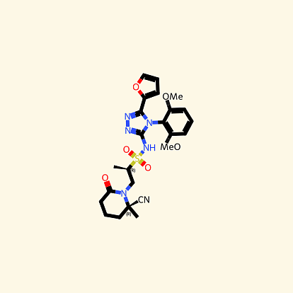 COc1cccc(OC)c1-n1c(NS(=O)(=O)[C@H](C)CN2C(=O)CCC[C@]2(C)C#N)nnc1-c1ccco1